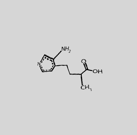 CC(CCc1ccncc1N)C(=O)O